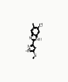 CSc1cc(-c2nc3cc(C)c(Cl)cc3[nH]2)n[nH]1